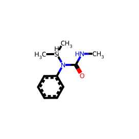 CNC(=O)N(c1ccccc1)[SiH](C)C